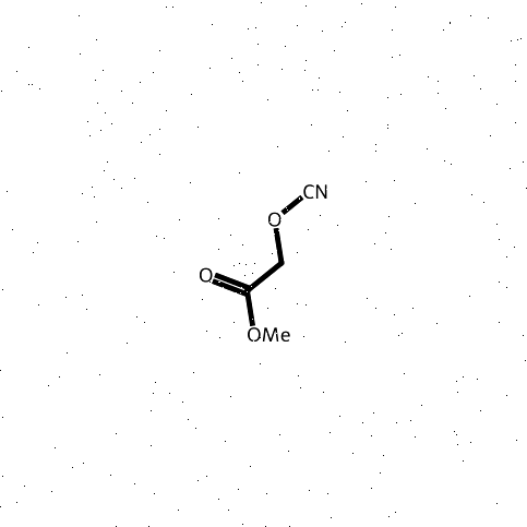 COC(=O)COC#N